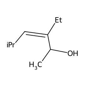 CCC(=CC(C)C)C(C)O